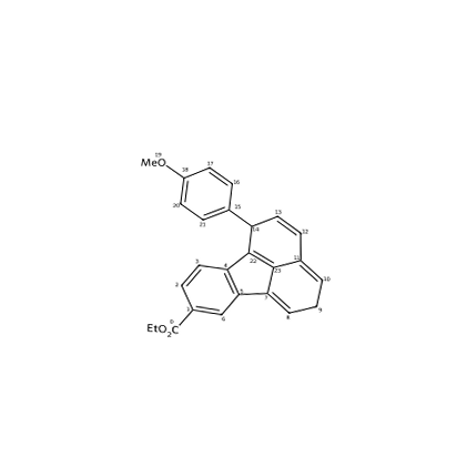 CCOC(=O)c1ccc2c(c1)C1=CCC=C3C=CC(c4ccc(OC)cc4)C2=C31